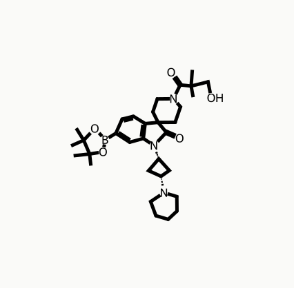 CC(C)(CO)C(=O)N1CCC2(CC1)C(=O)N([C@H]1C[C@@H](N3CCCCC3)C1)c1cc(B3OC(C)(C)C(C)(C)O3)ccc12